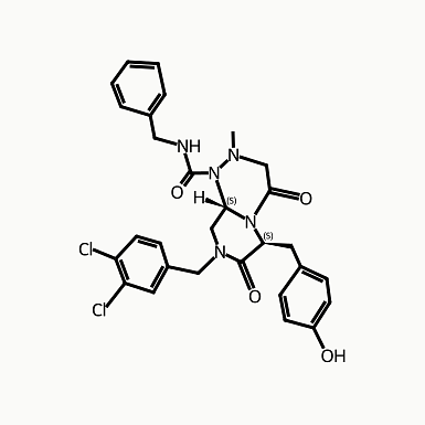 CN1CC(=O)N2[C@@H](Cc3ccc(O)cc3)C(=O)N(Cc3ccc(Cl)c(Cl)c3)C[C@@H]2N1C(=O)NCc1ccccc1